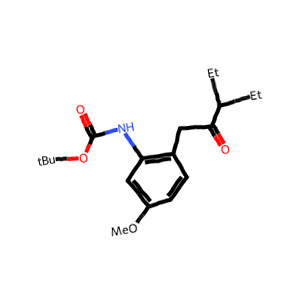 CCC(CC)C(=O)Cc1ccc(OC)cc1NC(=O)OC(C)(C)C